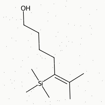 CC(C)=C(CCCCO)[Si](C)(C)C